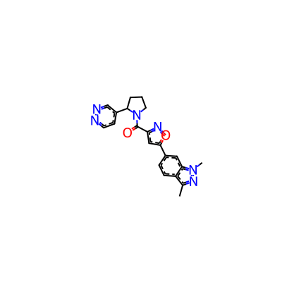 Cc1nn(C)c2cc(-c3cc(C(=O)N4CCCC4c4ccnnc4)no3)ccc12